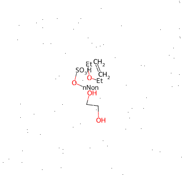 C=C.CCCCCCCCCOS(=O)(=O)O.CCOCC.OCCO